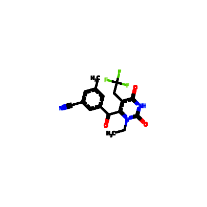 CCn1c(C(=O)c2cc(C)cc(C#N)c2)c(CC(F)(F)F)c(=O)[nH]c1=O